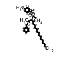 CCCCCCCCCCCCCCCC(OC(CC)OS(=O)(=O)c1ccc(C)cc1)C(C)OCc1ccccc1